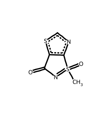 CS1(=O)=NC(=O)c2scnc21